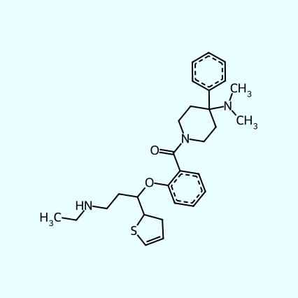 CCNCCC(Oc1ccccc1C(=O)N1CCC(c2ccccc2)(N(C)C)CC1)C1CC=CS1